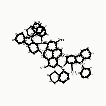 CCCc1cc(N(c2cccc3c2CCCC3)c2c(C)cc3c4ccccc4n(-c4ccccc4)c3c2C)c2ccc3c(CCC)cc(N(c4cccc5c4CCCC5)c4c(C)ccc5c6ccccc6n(-c6ccccc6)c45)c4ccc1c2c34